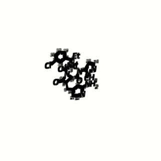 CC[C@@H](NC(=O)N1C(=O)[C@H](Cc2ccnc(N)c2)[C@H]1C(=O)N(C)c1ccnn1C)c1cccc(Cl)c1